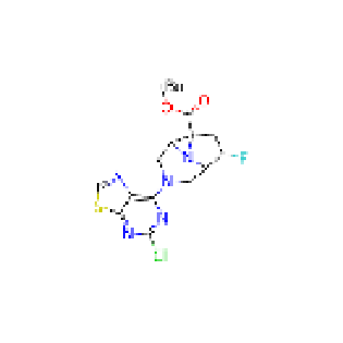 CC(C)(C)OC(=O)C12CC(F)C3CN(c4nc(Cl)nc5scnc45)CC1N32